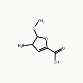 BC1C=C(C(=O)O)OC1SC